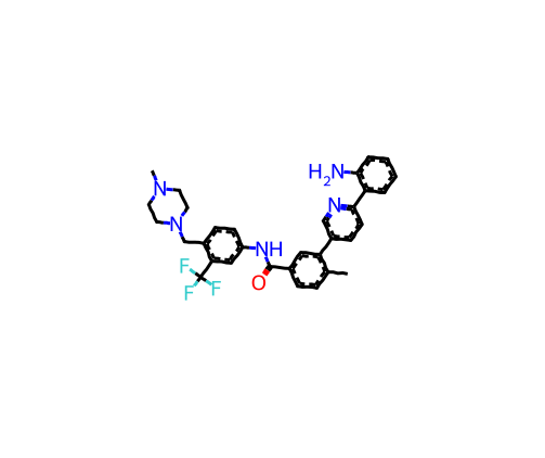 Cc1ccc(C(=O)Nc2ccc(CN3CCN(C)CC3)c(C(F)(F)F)c2)cc1-c1ccc(-c2ccccc2N)nc1